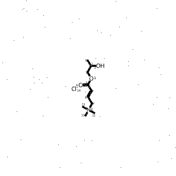 CC(O)COC(=O)C=CC[N+](C)(C)C.[Cl-]